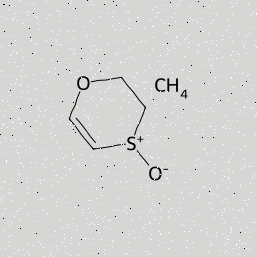 C.[O-][S+]1C=COCC1